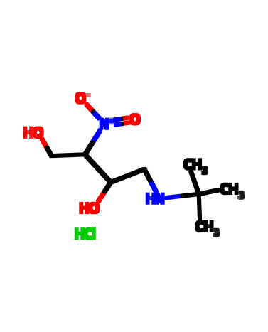 CC(C)(C)NCC(O)C(CO)[N+](=O)[O-].Cl